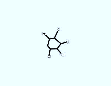 ClC1C[CH]([Pt])C(Cl)C(Cl)C1Cl